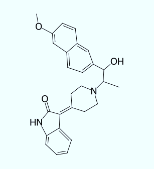 COc1ccc2cc(C(O)C(C)N3CCC(=C4C(=O)Nc5ccccc54)CC3)ccc2c1